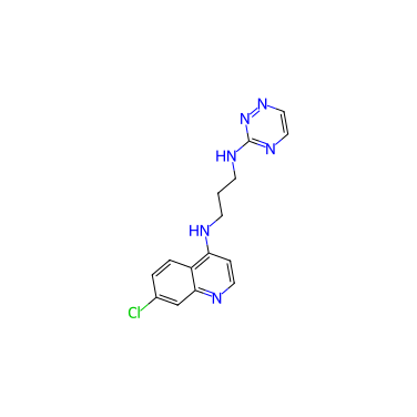 Clc1ccc2c(NCCCNc3nccnn3)ccnc2c1